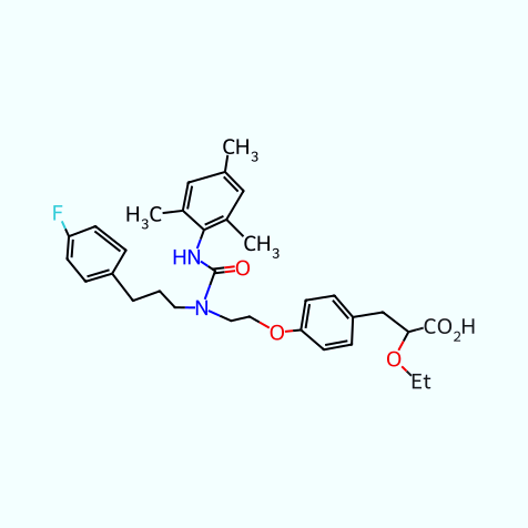 CCOC(Cc1ccc(OCCN(CCCc2ccc(F)cc2)C(=O)Nc2c(C)cc(C)cc2C)cc1)C(=O)O